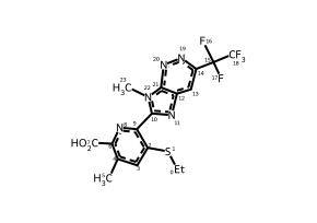 CCSc1cc(C)c(C(=O)O)nc1-c1nc2cc(C(F)(F)C(F)(F)F)nnc2n1C